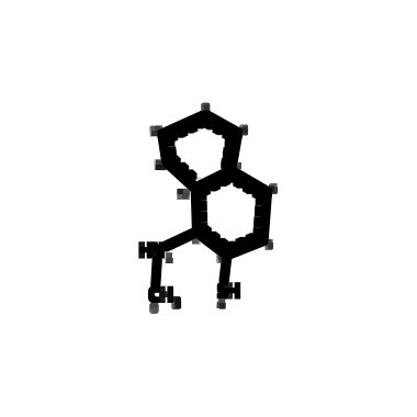 CNc1c(S)ccc2ccccc12